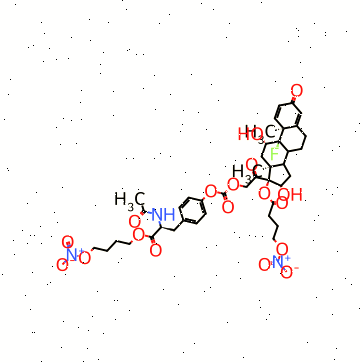 CC(=O)N[C@@H](Cc1ccc(OC(=O)OCC(=O)[C@@]2(OC(=O)CCCO[N+](=O)[O-])[C@H](O)CC3C4CCC5=CC(=O)C=C[C@]5(C)[C@@]4(F)[C@@H](O)C[C@@]32C)cc1)C(=O)OCCCCO[N+](=O)[O-]